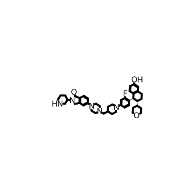 O=C1c2ccc(N3CCN(CC4CCN(c5ccc([C@@H]6c7ccc(O)cc7CC[C@@H]6C6CCOCC6)c(F)c5)CC4)CC3)cc2CN1C1CCCNC1